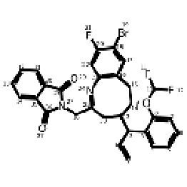 C=CC(c1ccccc1OC(F)F)C1CCc2cc(Br)c(F)cc2/N=C(/CN2C(=O)c3ccccc3C2=O)C1